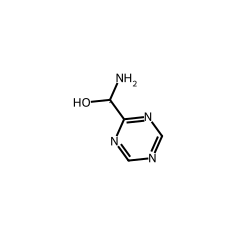 N[C](O)c1ncncn1